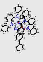 Ic1c(-c2ccc(-c3ccccc3)cc2)nc(-n2c3ccccc3c3ccc4c5ccccc5n(-c5ccccc5)c4c32)nc1-n1c2ccccc2c2ccc3c4ccccc4n(-c4ccccc4)c3c21